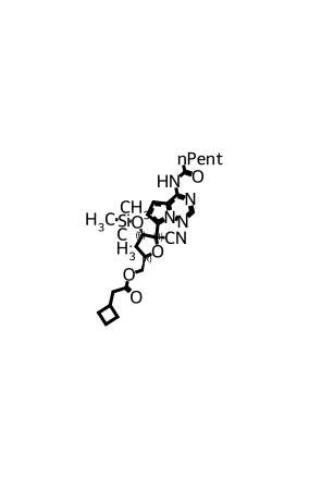 CCCCCC(=O)Nc1ncnn2c([C@]3(C#N)O[C@@H](COC(=O)CC4CCC4)[CH][C@H]3O[Si](C)(C)C)ccc12